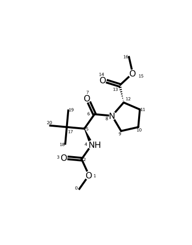 COC(=O)N[C@H](C(=O)N1CCC[C@H]1C(=O)OC)C(C)(C)C